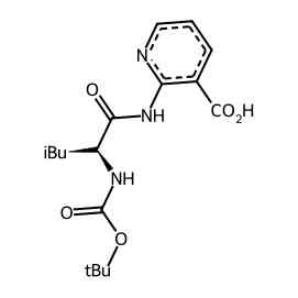 CC[C@H](C)[C@H](NC(=O)OC(C)(C)C)C(=O)Nc1ncccc1C(=O)O